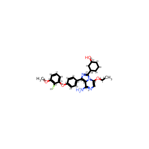 CCOc1cnc(N)c2c(-c3ccc(Oc4cccc(OC)c4F)cc3)nc(C3CCCC(O)C3)n12